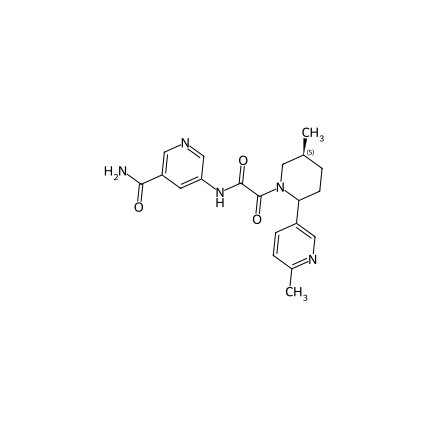 Cc1ccc(C2CC[C@H](C)CN2C(=O)C(=O)Nc2cncc(C(N)=O)c2)cn1